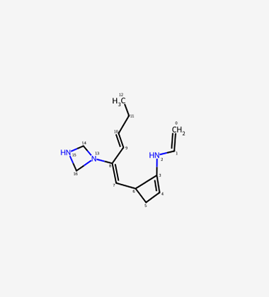 C=CNC1=CCC1/C=C(\C=C\CC)N1CNC1